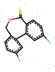 Fc1ccc2c(c1)-c1cc(F)ccc1C(=S)OC2